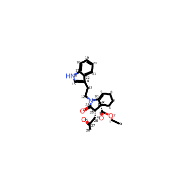 CCOC(=O)[C@@]12CCCC=C1N(CCc1c[nH]c3ccccc13)C(=O)[C@H]2CC(C)=O